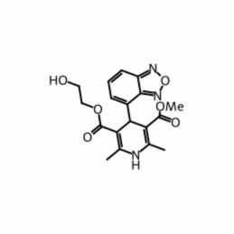 COC(=O)C1=C(C)NC(C)=C(C(=O)OCCO)C1c1cccc2nonc12